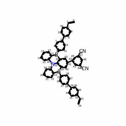 C=Cc1ccc(-c2ccc(B3c4ccccc4N4c5ccccc5B(c5ccc(-c6ccc(C=C)cc6)cc5)c5cc(-c6cc(C#N)cc(C#N)c6)cc3c54)cc2)cc1